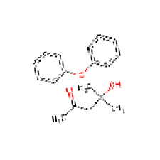 CC(=O)CC(C)(C)O.c1ccc(Oc2ccccc2)cc1